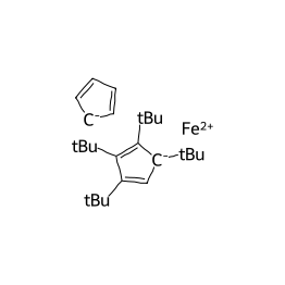 CC(C)(C)c1c[c-](C(C)(C)C)c(C(C)(C)C)c1C(C)(C)C.[Fe+2].c1cc[cH-]c1